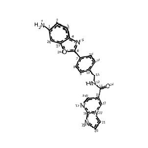 Nc1ccc2nc(-c3ccc(CNC(=O)c4cnc5nccn5c4)cc3)oc2c1